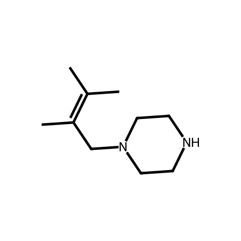 CC(C)=C(C)CN1CCNCC1